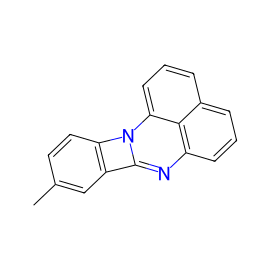 Cc1ccc2c(c1)C1=Nc3cccc4cccc(c34)N12